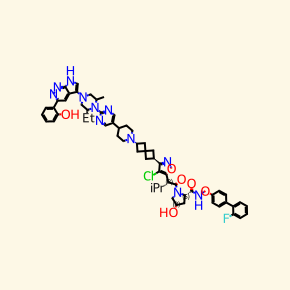 CCC1CN(c2c[nH]c3nnc(-c4ccccc4O)cc23)CC(C)N1c1ncc(C2CCN([C@H]3CC4(C[C@H](c5noc([C@H](C(=O)N6C[C@H](O)C[C@H]6C(=O)NOc6ccc(-c7ccccc7F)cc6)C(C)C)c5Cl)C4)C3)CC2)cn1